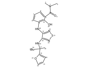 CN(C)C(=O)c1cccc(Nc2nsnc2NC(C)(c2ccco2)C(C)(C)C)c1O